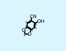 N#Cc1cc2c(cc1O)OCO2